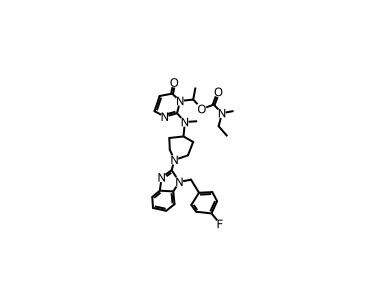 CCN(C)C(=O)OC(C)n1c(N(C)C2CCN(c3nc4ccccc4n3Cc3ccc(F)cc3)CC2)nccc1=O